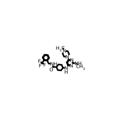 CNc1nc(NC2CCC(C(=O)NCc3ccccc3C(F)(F)F)CC2)cc(N2CCN(C)CC2)n1